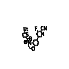 CCc1ccc(S(=O)(=O)N2CCOc3ccc(-c4cnc(C#N)c(F)c4)cc32)s1